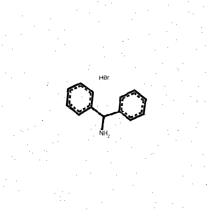 Br.NC(c1ccccc1)c1ccccc1